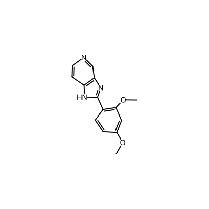 COc1ccc(-c2nc3cnccc3[nH]2)c(OC)c1